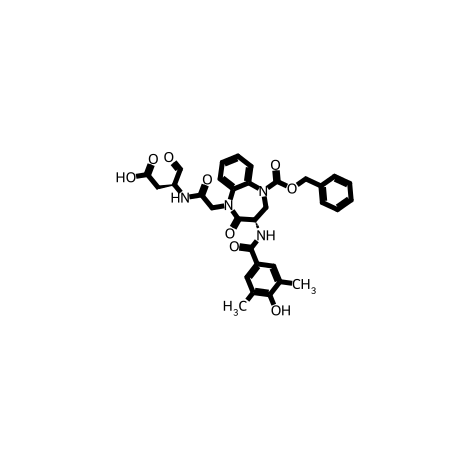 Cc1cc(C(=O)N[C@H]2CN(C(=O)OCc3ccccc3)c3ccccc3N(CC(=O)N[C@H](C=O)CC(=O)O)C2=O)cc(C)c1O